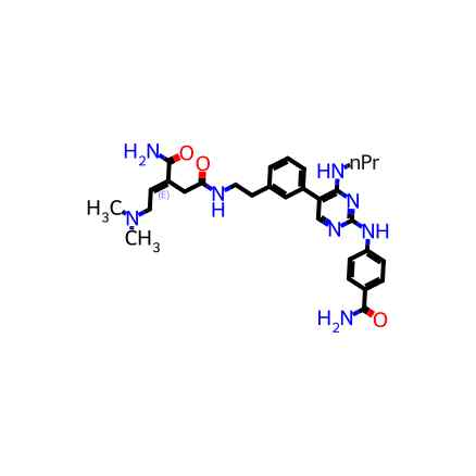 CCCNc1nc(Nc2ccc(C(N)=O)cc2)ncc1-c1cccc(CCNC(=O)C/C(=C\CN(C)C)C(N)=O)c1